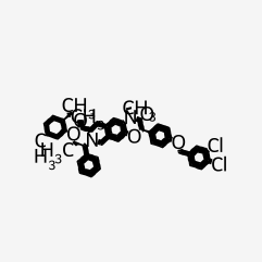 CC[C@H](c1ccccc1)N1Cc2cc3c(cc2CC1C(=O)O[C@@H]1C[C@H](C)CC[C@H]1C(C)C)N(C)C(=O)[C@@H](c1ccc(OCc2ccc(Cl)c(Cl)c2)cc1)O3